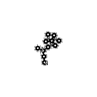 c1ccc(-c2nc(-c3ccc(-c4cccnc4)cc3)cc(-c3ccc(-n4c5ccccc5c5c6c(c7ccccc7n6-c6ccccc6)c6c(c7ccccc7n6-c6ccccc6)c54)cc3)n2)cc1